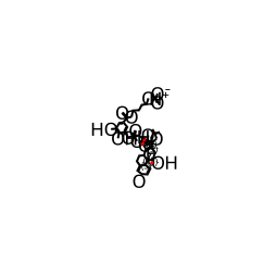 CC1(C)O[C@@H]2CC3C4CCC5=CC(=O)C=C[C@]5(C)[C@@]4(F)[C@@H](O)C[C@]3(C)[C@]2(C(=O)COC(=O)Oc2cc(C(=O)OCCCCO[N+](=O)[O-])cc(O)c2O)O1